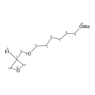 CCC1(COCCCCCCOC)COC1